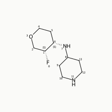 F[C@@H]1COCC[C@@H]1NC1CCNCC1